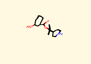 CC(C)(OC(=O)C1CCCC(O)C1)C1CCNCC1